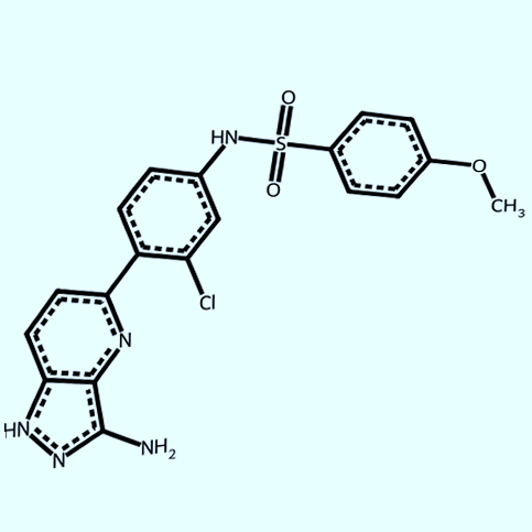 COc1ccc(S(=O)(=O)Nc2ccc(-c3ccc4[nH]nc(N)c4n3)c(Cl)c2)cc1